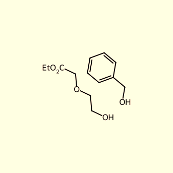 CCOC(=O)COCCO.OCc1ccccc1